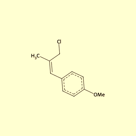 COc1ccc(C=C(C)CCl)cc1